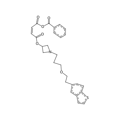 O=C(/C=C\C(=O)OC1CN(CCCOCCc2ccc3sccc3c2)C1)OC(=O)c1ccccc1